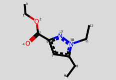 CCOC(=O)c1cc(CC)n(CC)n1